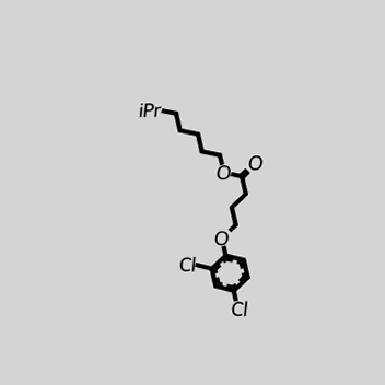 CC(C)CCCCCOC(=O)CCCOc1ccc(Cl)cc1Cl